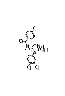 CN(C(=O)c1ccc(Cl)cc1)[C@@H]1CNC[C@H]1c1ccc(Cl)c(Cl)c1.Cl